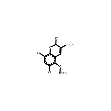 CCCCCOc1c(Cl)cc(Cl)c2c1C=C(C(=O)OCC)C(C(F)(F)F)O2